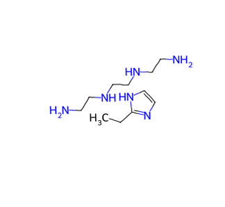 CCc1ncc[nH]1.NCCNCCNCCN